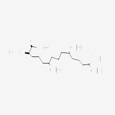 C=C(CCCC(C)CCCC(C)CCCC(C)C)C(=O)O